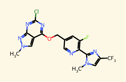 Cn1cc2c(OCc3cnc(-c4nc(C(F)(F)F)cn4C)c(F)c3)nc(Cl)nc2n1